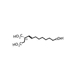 CCCCCCCCCCCCCCCCC=C[C@H](CC(=O)O)C(=O)O